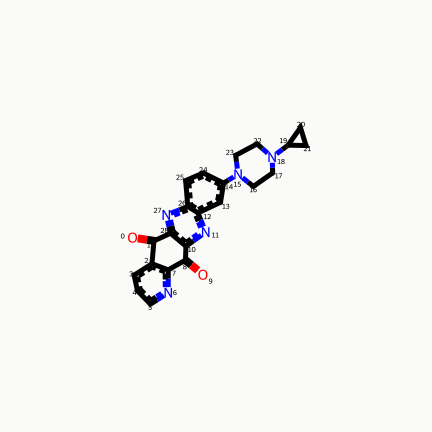 O=C1c2cccnc2C(=O)c2nc3cc(N4CCN(C5CC5)CC4)ccc3nc21